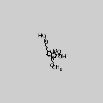 COCCn1cc(C(=O)O)c(=O)c2cc(C=CCOCCO)ccc21